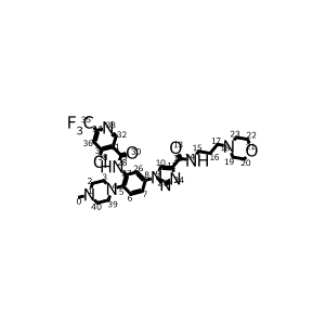 CN1CCN(c2ccc(-n3cc(C(=O)NCCCN4CCOCC4)nn3)cc2NC(=O)c2cnc(C(F)(F)F)cc2Cl)CC1